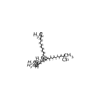 CCCCCCCCCCCC[N+](C)(CCCCCCCCCCCC)CCC[SiH](OC)OC.[Cl-]